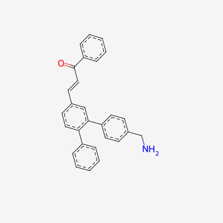 NCc1ccc(-c2cc(C=CC(=O)c3ccccc3)ccc2-c2ccccc2)cc1